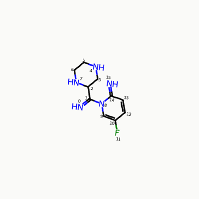 N=C(C1CNCCN1)n1cc(F)ccc1=N